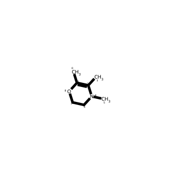 CC1=C(C)N(C)CCO1